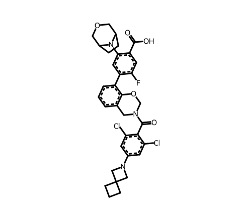 O=C(O)c1cc(F)c(-c2cccc3c2OCN(C(=O)c2c(Cl)cc(N4CC5(CCC5)C4)cc2Cl)C3)cc1N1C2CCC1COC2